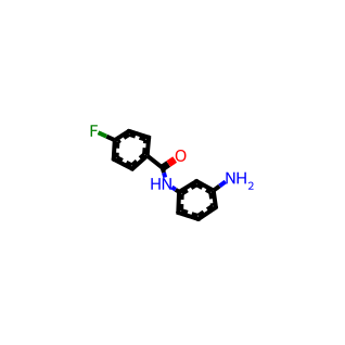 Nc1cccc(NC(=O)c2ccc(F)cc2)c1